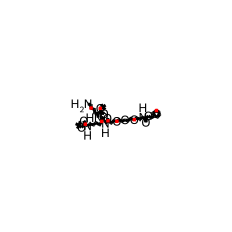 CC(C)(C)OC(=O)NCCCCC(NC(=O)CCOCCOCCOCCNC(=O)OCc1ccccc1)C(=O)NC(CCCCN)C(=O)OC(C)(C)C